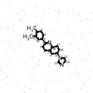 Cc1ccc(-c2ccc3cc(-n4ccnc4)ccc3n2)cc1C